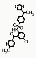 C=C(c1ccc(S(=O)(=O)Nc2ccc(Cl)cc2C(=O)c2ccc(C)nc2)cc1)c1cocn1